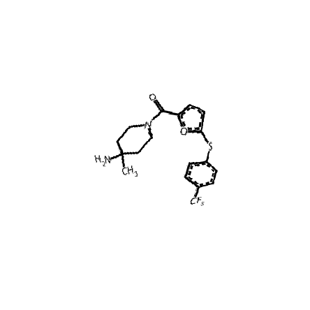 CC1(N)CCN(C(=O)c2ccc(Sc3ccc(C(F)(F)F)cc3)o2)CC1